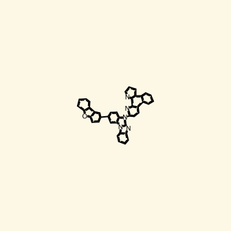 c1ccc2c(c1)nc1n(-c3ccc4c5ccccc5c5cccnc5c4n3)c3ccc(-c4ccc5oc6ccccc6c5c4)cc3n21